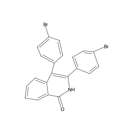 O=c1[nH]c(-c2ccc(Br)cc2)c(-c2ccc(Br)cc2)c2ccccc12